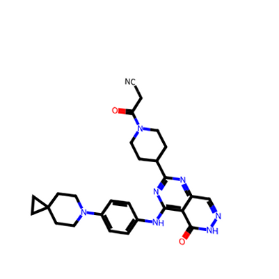 N#CCC(=O)N1CCC(c2nc(Nc3ccc(N4CCC5(CC4)CC5)cc3)c3c(=O)[nH]ncc3n2)CC1